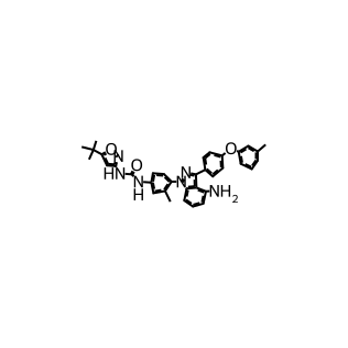 Cc1cccc(Oc2ccc(-c3nn(-c4ccc(NC(=O)Nc5cc(C(C)(C)C)on5)cc4C)c4cccc(N)c34)cc2)c1